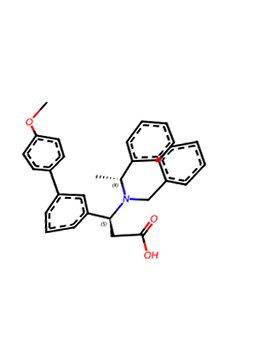 COc1ccc(-c2cccc([C@H](CC(=O)O)N(Cc3ccccc3)[C@H](C)c3ccccc3)c2)cc1